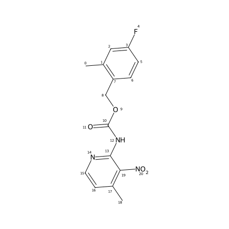 Cc1cc(F)ccc1COC(=O)Nc1nccc(C)c1[N+](=O)[O-]